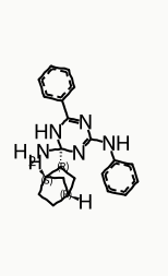 NC1([C@@H]2C[C@@H]3CC[C@H]2C3)N=C(Nc2ccccc2)N=C(c2ccccc2)N1